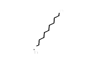 CC(C)CCCCCCCCCOC(C)C